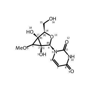 COC1[C@@]2(O)[C@H](n3ccc(=O)[nH]c3=O)O[C@H](CO)[C@@]12O